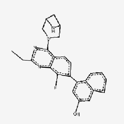 CCc1nc(N2CC3CC(C2)N3)c2ccc(-c3cc(O)cc4ccccc34)c(F)c2n1